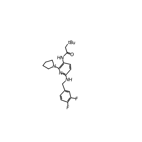 CC(C)(C)CC(=O)Nc1ccc(NCc2ccc(F)c(F)c2)nc1N1CCCC1